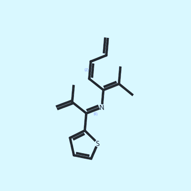 C=C/C=C\C(/N=C(\C(=C)C)c1cccs1)=C(C)C